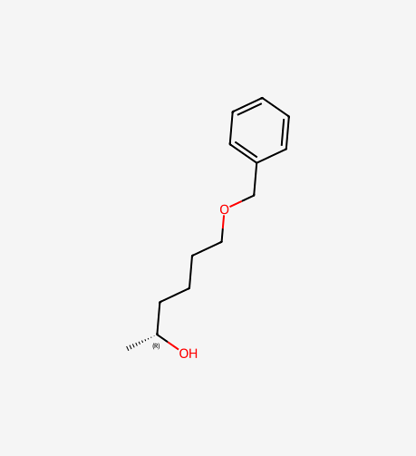 C[C@@H](O)CCCCOCc1ccccc1